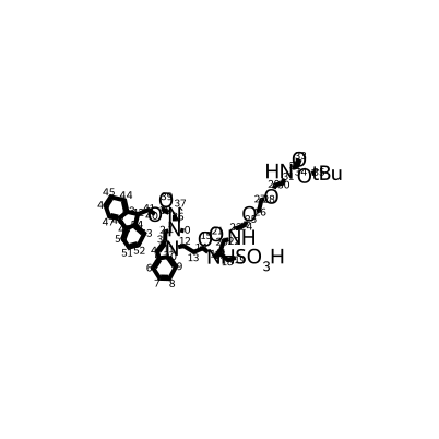 CN(Cc1cc2ccccc2n1CCC(=O)NC(CS(=O)(=O)O)C(=O)NCCOCCOCCNC(=O)OC(C)(C)C)N(C)C(=O)OCC1c2ccccc2-c2ccccc21